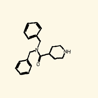 O=C(C1CCNCC1)N(Cc1ccccc1)Cc1ccccc1